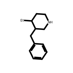 CCC1CCNCC1Cc1ccccc1